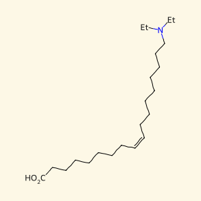 CCN(CC)CCCCCCCC/C=C\CCCCCCCC(=O)O